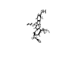 COc1cc([N+](=O)[O-])cc2c1OC1(Sc3cc(O)ccc3N1C)C(C)=C2